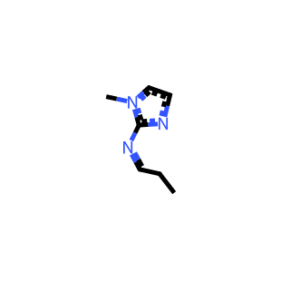 CC/C=N\c1nccn1C